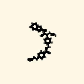 NC[C@@H](C(=O)Nc1cc2ccncc2s1)c1ccc(COC(=O)c2ccc(CO[N+](=O)[O-])cc2)cc1